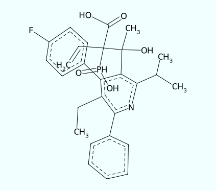 C=CC(C(=O)O)([PH](=O)O)C(C)(O)c1c(C(C)C)nc(-c2ccccc2)c(CC)c1-c1ccc(F)cc1